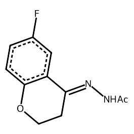 CC(=O)N/N=C1\CCOc2ccc(F)cc21